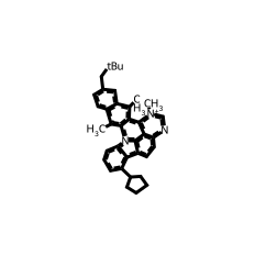 Cc1c2cc(CC(C)(C)C)ccc2c(C)c2c1c1c3c(ccc4c5c(C6CCCC6)cccc5n2c43)nc[n+]1C